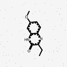 CCc1nc2ccc(OC)cc2[nH]c1=O